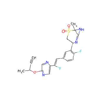 C#CC(C)Oc1cnc(/C(F)=C/c2ccc(F)c(C3CS(=O)(=O)C4(C)NC4=N3)c2)cn1